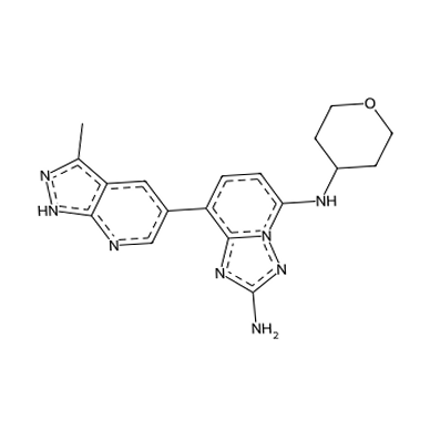 Cc1n[nH]c2ncc(-c3ccc(NC4CCOCC4)n4nc(N)nc34)cc12